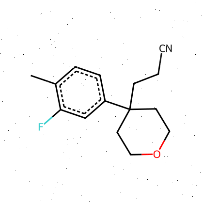 Cc1ccc(C2(CCC#N)CCOCC2)cc1F